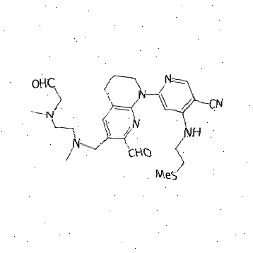 CSCCNc1cc(N2CCCc3cc(CN(C)CCN(C)CC=O)c(C=O)nc32)ncc1C#N